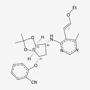 CCO/C=C/c1c(C)ncnc1N[C@@H]1C[C@H](Oc2ccccc2C#N)[C@H]2OC(C)(C)O[C@H]21